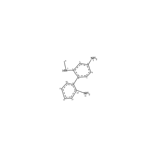 CNc1cc(N)ccc1-c1ccccc1N